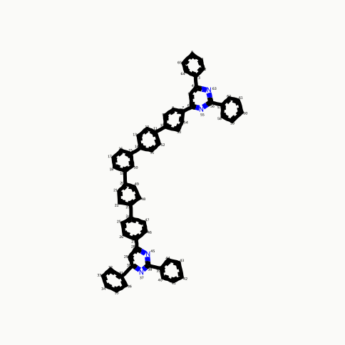 c1ccc(-c2cc(-c3ccc(-c4ccc(-c5cccc(-c6ccc(-c7ccc(-c8cc(-c9ccccc9)nc(-c9ccccc9)n8)cc7)cc6)c5)cc4)cc3)nc(-c3ccccc3)n2)cc1